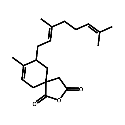 CC(C)=CCC/C(C)=C/CC1CC2(CC=C1C)CC(=O)OC2=O